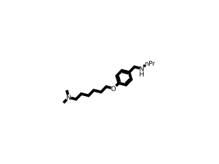 CCCNCc1ccc(OCCCCCCN(C)C)cc1